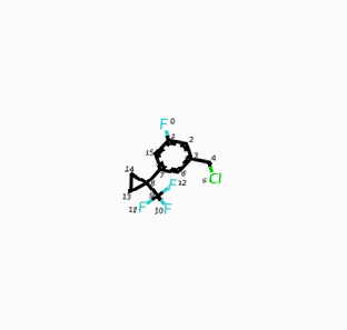 Fc1cc(CCl)cc(C2(C(F)(F)F)CC2)c1